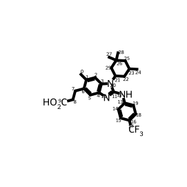 Cc1cc2c(cc1CCC(=O)O)nc(Nc1ccc(C(F)(F)F)cc1)n2C1CC(C)CC(C)(C)C1